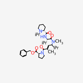 C/C(=C\C(C(C)C)N(C)C(=O)[C@@H](NC(=O)[C@H]1CCCCN1C(C)C)C(C)C)C(=O)N1CCC[C@H]1C(=O)OCc1ccccc1